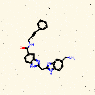 NCc1ccc2[nH]c(Cc3nc4cc(C(=O)NCC#Cc5ccccc5)ccc4[nH]3)nc2c1